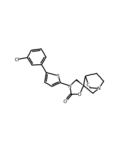 O=C1O[C@]2(CN3CCC2CC3)CN1c1ccc(-c2cccc(Cl)c2)s1